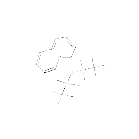 CC(C)(C)[Si](C)(C)N[Si](C)(C)C(C)(C)C.c1ccc2ccccc2c1